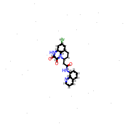 O=C(CC1CCc2cc(Br)cc3[nH]c(=O)c(=O)n1c23)Nc1cccc2cccnc12